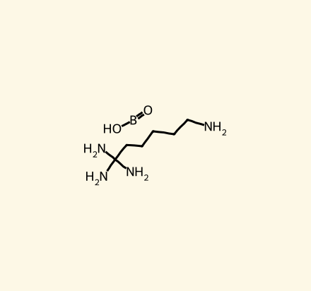 NCCCCCC(N)(N)N.O=BO